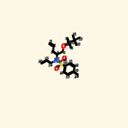 C=CCC(CO[Si](C)(C)C(C)(C)C)N(CC=C)S(=O)(=O)c1ccc(C)cc1